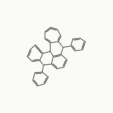 C1=CC=C2B3c4ccccc4N(c4ccccc4)c4cccc(c43)N(c3ccccc3)C2=CC=1